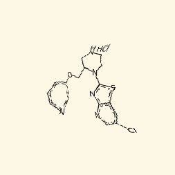 Cl.Clc1cnc2nc(N3CCNCC3COc3cccnc3)sc2c1